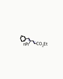 CCCC(/C=C/C(=O)OCC)=C\c1ccccc1